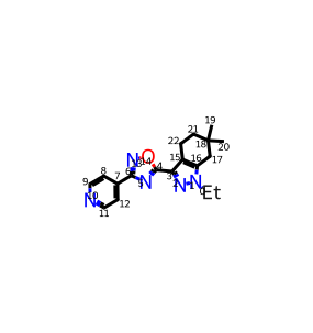 CCn1nc(-c2nc(-c3ccncc3)no2)c2c1CC(C)(C)CC2